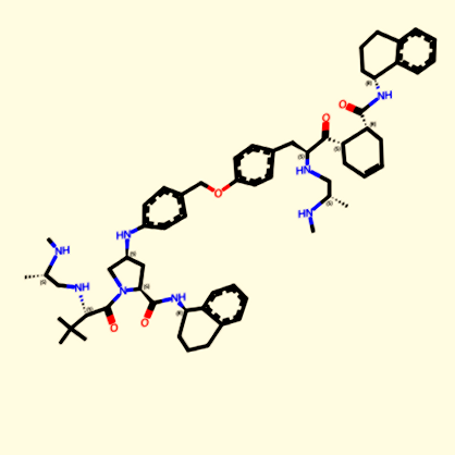 CN[C@@H](C)CN[C@@H](Cc1ccc(OCc2ccc(N[C@H]3C[C@@H](C(=O)N[C@@H]4CCCc5ccccc54)N(C(=O)[C@@H](NC[C@H](C)NC)C(C)(C)C)C3)cc2)cc1)C(=O)[C@H]1CC=CC[C@H]1C(=O)N[C@@H]1CCCc2ccccc21